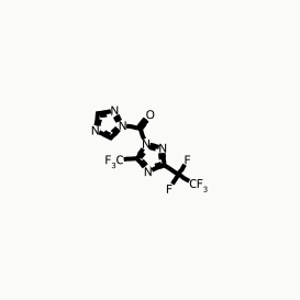 O=C(n1cncn1)n1nc(C(F)(F)C(F)(F)F)nc1C(F)(F)F